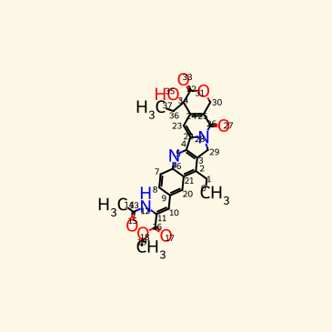 CCc1c2c(nc3ccc(C=C(NC(C)=O)C(=O)OC)cc13)-c1cc3c(c(=O)n1C2)COC(=O)[C@]3(O)CC